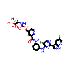 C[C@@H](NC(=O)OCc1ccnc(C(=O)N[C@@H]2CCC[C@H](Nc3nc(-c4c[nH]c5ncc(F)cc45)ncc3F)C2)c1)C(O)O